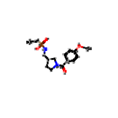 C=CS(=O)(=O)NCC1CCN(C(=O)c2ccc(OCCCC)cc2)C1